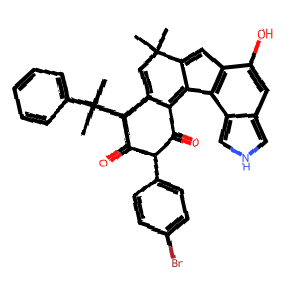 CC1(C)C=C2C(=C3C1=Cc1c(O)cc4c[nH]cc4c13)C(=O)C(c1ccc(Br)cc1)C(=O)C2C(C)(C)c1ccccc1